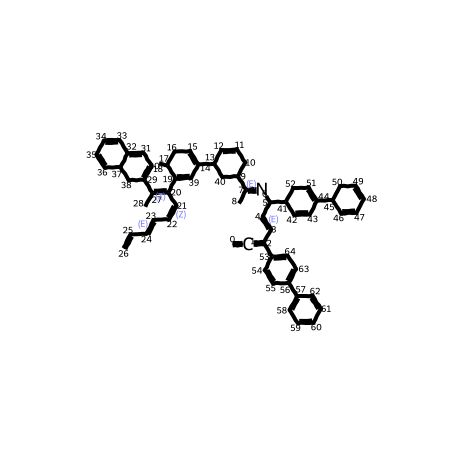 C=C=C(/C=C/C(/N=C(\C)C1CC=CC(C2=CCC(C)C(C(/C=C\C=C\C=C)=C(/C)C3=CC=C4C=CC=CC4C3)=C2)C1)C1C=CC(C2C=CC=CC2)=CC1)c1ccc(-c2ccccc2)cc1